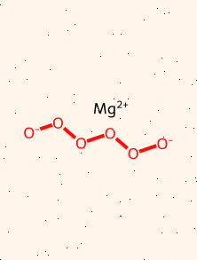 [Mg+2].[O-]OOOO[O-]